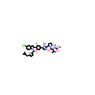 COC(=O)N[C@H](C(=O)N1CCCC1c1ncc(-c2cc(F)c3c(c2)OC(c2ccc(CC4CC4)s2)n2c-3cc3cc(Cl)ccc32)[nH]1)C(C)C